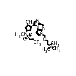 C[C@@H]1C[C@H](N(C)S(=O)(=O)CCC(F)(F)F)C[C@@H]1c1cnc2cnc3c(ccn3COCC[Si](C)(C)C)n12